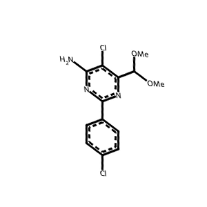 COC(OC)c1nc(-c2ccc(Cl)cc2)nc(N)c1Cl